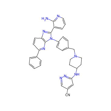 N#Cc1cnnc(NC2CCN(Cc3ccc(-n4c(-c5cccnc5N)nc5ccc(-c6ccccc6)nc54)cc3)CC2)c1